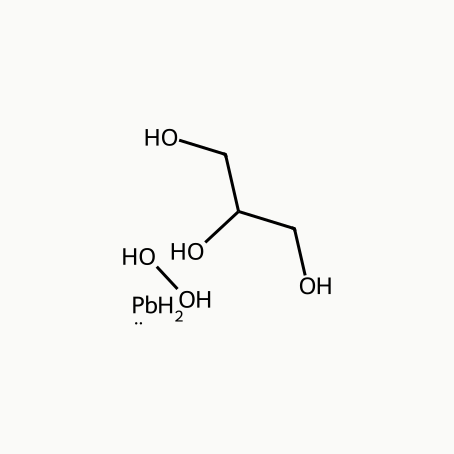 OCC(O)CO.OO.[PbH2]